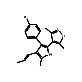 CC=Cc1c(C)[nH]c(-c2c(C)noc2C)c1-c1ccc(O)cc1